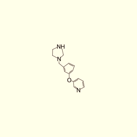 c1cncc(Oc2cccc(CN3CCNCC3)c2)c1